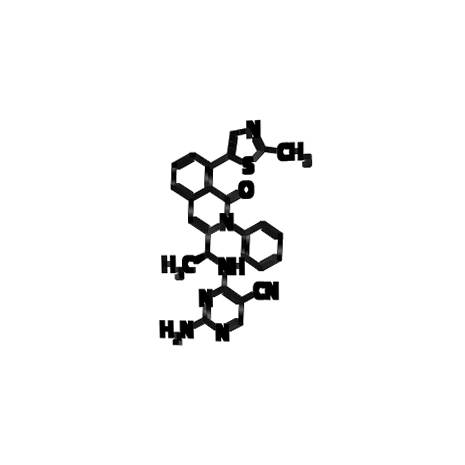 Cc1ncc(-c2cccc3cc([C@H](C)Nc4nc(N)ncc4C#N)n(-c4ccccc4)c(=O)c23)s1